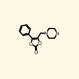 O=c1oc(CN2CC[N]CC2)c(-c2ccccc2)o1